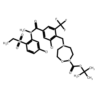 CCS(=O)(=O)c1ccc(Cl)cc1N(C)C(=O)c1cc(Cl)c(CN2CCON(C(=O)OC(C)(C)C)CC2)c(C(F)(F)F)c1